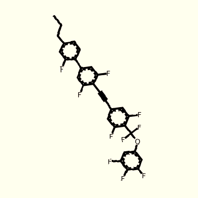 CCCc1ccc(-c2cc(F)c(C#Cc3cc(F)c(C(F)(F)Oc4cc(F)c(F)c(F)c4)c(F)c3)c(F)c2)c(F)c1